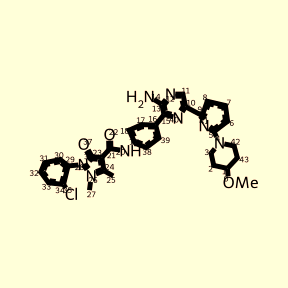 COC1CCN(c2cccc(-c3cnc(N)c(-c4ccc(NC(=O)c5c(C)n(C)n(-c6ccccc6Cl)c5=O)cc4)n3)n2)CC1